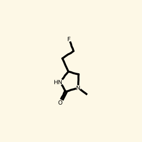 CN1CC(CCF)NC1=O